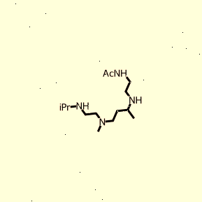 CC(=O)NCCNC(C)CCN(C)CCNC(C)C